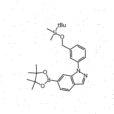 CC1(C)OB(c2ccc3cnn(-c4cccc(CO[Si](C)(C)C(C)(C)C)c4)c3c2)OC1(C)C